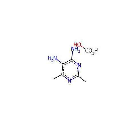 Cc1nc(C)c(N)c(N)n1.O=C(O)O